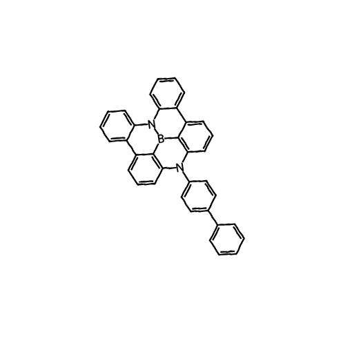 c1ccc(-c2ccc(N3c4cccc5c4B4c6c(cccc63)-c3ccccc3N4c3ccccc3-5)cc2)cc1